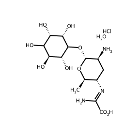 C[C@H]1O[C@H](OC2[C@@H](O)[C@@H](O)C(O)[C@H](O)[C@H]2O)[C@@H](N)C[C@@H]1N=C(N)C(=O)O.Cl.O